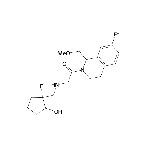 CCc1ccc2c(c1)C(COC)N(C(=O)CNCC1(F)CCCC1O)CC2